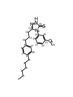 CCCCCCc1ccc(CCCc2n[nH]c(=S)n2-c2cccc(OC)c2)cc1